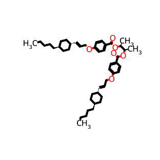 CCCCC[C@H]1CC[C@H](C=CCOc2ccc(C(=O)O[C@H](C)[C@@H](C)OC(=O)c3ccc(OCC=C[C@H]4CC[C@H](CCCCC)CC4)cc3)cc2)CC1